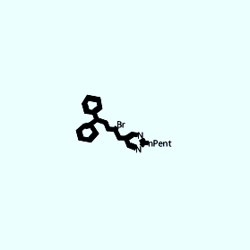 CCCCCc1ncc(CC(Br)CCC(c2ccccc2)c2ccccc2)cn1